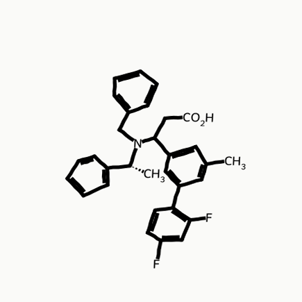 Cc1cc(-c2ccc(F)cc2F)cc(C(CC(=O)O)N(Cc2ccccc2)[C@H](C)c2ccccc2)c1